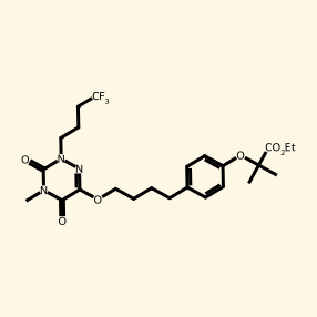 CCOC(=O)C(C)(C)Oc1ccc(CCCCOc2nn(CCCC(F)(F)F)c(=O)n(C)c2=O)cc1